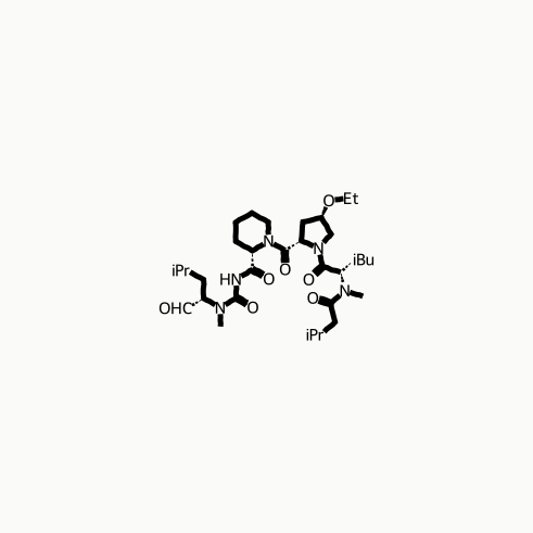 CCO[C@@H]1C[C@@H](C(=O)N2CCCC[C@H]2C(=O)NC(=O)N(C)[C@H](C=O)CC(C)C)N(C(=O)[C@H]([C@@H](C)CC)N(C)C(=O)CC(C)C)C1